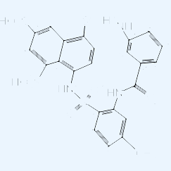 Cc1ccc(S(=O)(=O)Nc2ccc(S(=O)(=O)O)c3cc(S(=O)(=O)O)cc(S(=O)(=O)O)c23)c(NC(=O)c2cccc(N)c2)c1